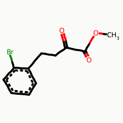 COC(=O)C(=O)CCc1ccccc1Br